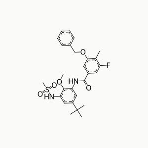 COc1c(NC(=O)c2cc(F)c(C)c(OCc3ccccc3)c2)cc(C(C)(C)C)cc1NS(C)(=O)=O